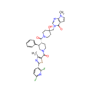 Cc1nc(-c2ccc(F)nc2F)sc1C(=O)N1CC[C@@H](C(=O)N2CCC(O)(Cn3cnc4c(ccn4C)c3=O)CC2)[C@H](c2ccccc2)C1